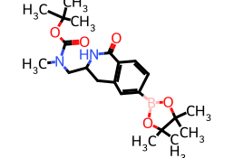 CN(CC1Cc2cc(B3OC(C)(C)C(C)(C)O3)ccc2C(=O)N1)C(=O)OC(C)(C)C